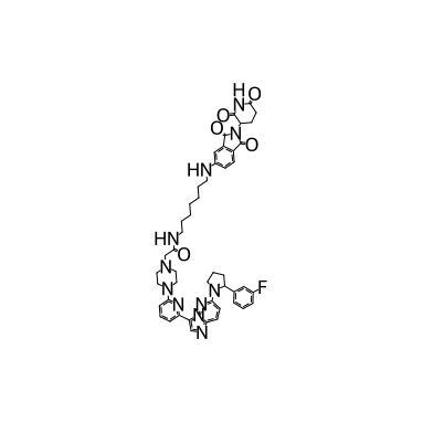 O=C(CN1CCN(c2cccc(-c3cnc4ccc(N5CCCC5c5cccc(F)c5)nn34)n2)CC1)NCCCCCCCNc1ccc2c(c1)C(=O)N(C1CCC(=O)NC1=O)C2=O